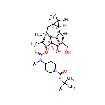 CC1=C[C@]23C(=O)[C@@H](C=C(CO)[C@@H](O)[C@]2(O)[C@H]1OC(=O)N(C)C1CCN(C(=O)OC(C)(C)C)CC1)[C@H]1[C@@H](C[C@H]3C)C1(C)C